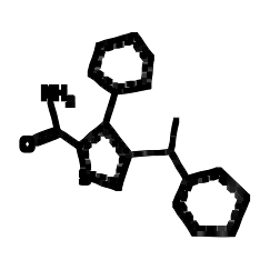 CC(c1ccccc1)c1csc(C(N)=O)c1-c1ccccc1